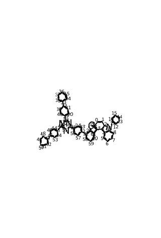 C1=CC2C(c3ccccc3N2c2ccccc2)c2c1oc1c(-c3ccc(-c4nc(-c5ccc(-c6ccccc6)cc5)nc(-c5ccc(-c6ccccc6)cc5)n4)cc3)cccc21